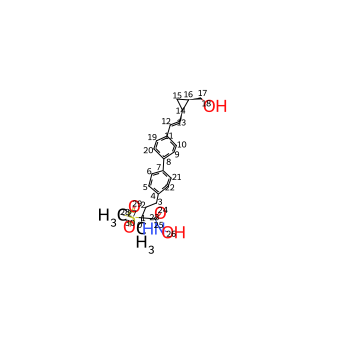 CC(CCc1ccc(-c2ccc(/C=C/[C@H]3C[C@H]3CO)cc2)cc1)(C(=O)NO)S(C)(=O)=O